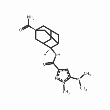 CN(C)c1cc(C(=O)N[C@H]2C3CC4CC2C[C@@](C(N)=O)(C4)C3)nn1C